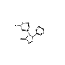 O=C1OCC(c2ccccc2)N1c1ncnc(Cl)n1